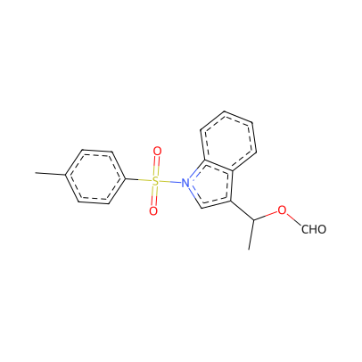 Cc1ccc(S(=O)(=O)n2cc(C(C)OC=O)c3ccccc32)cc1